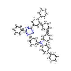 c1ccc(-c2ccc(-c3nc(-c4ccccc4)nc(-c4cccc(-n5c6ccc(-c7ccccc7)cc6c6ccc(-c7ccccc7)cc65)c4)n3)cc2)cc1